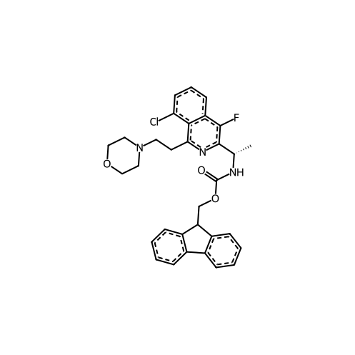 C[C@H](NC(=O)OCC1c2ccccc2-c2ccccc21)c1nc(CCN2CCOCC2)c2c(Cl)cccc2c1F